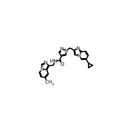 Cc1ccn2cnc(CNC(=O)c3cnn(Cc4cn5cc(C6CC6)ccc5n4)c3)c2c1